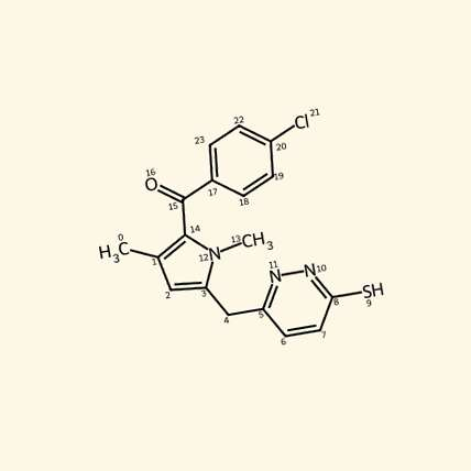 Cc1cc(Cc2ccc(S)nn2)n(C)c1C(=O)c1ccc(Cl)cc1